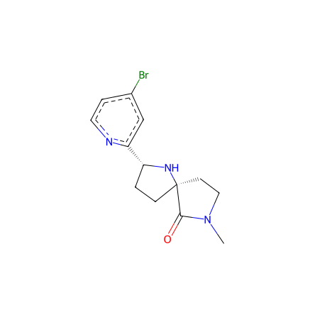 CN1CC[C@@]2(CC[C@H](c3cc(Br)ccn3)N2)C1=O